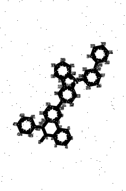 CC1c2ccccc2-c2cc(-c3ccc4c(c3)c3ccccc3n4-c3cccc(-c4ccccc4)c3)ccc2C1c1ccccc1